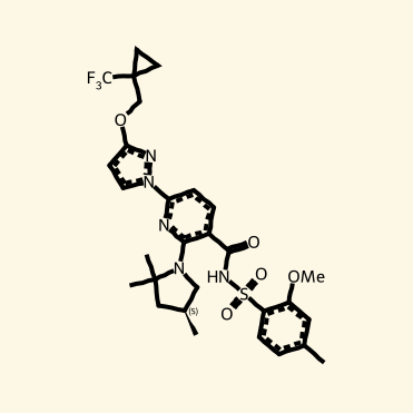 COc1cc(C)ccc1S(=O)(=O)NC(=O)c1ccc(-n2ccc(OCC3(C(F)(F)F)CC3)n2)nc1N1C[C@@H](C)CC1(C)C